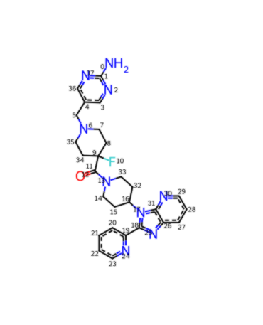 Nc1ncc(CN2CCC(F)(C(=O)N3CCC(n4c(-c5ccccn5)nc5cccnc54)CC3)CC2)cn1